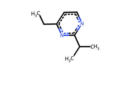 CCc1ccnc(C(C)C)n1